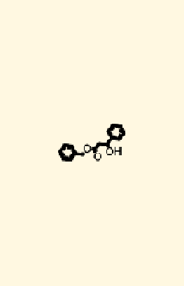 O=C(CC(O)c1ccccc1)OCc1ccccc1